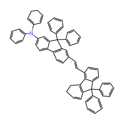 C1=CC(N(c2ccccc2)c2ccc3c(c2)C(c2ccccc2)(c2ccccc2)c2cc(/C=C/c4cccc5c4C4=C(C=CCC4)C5(c4ccccc4)c4ccccc4)ccc2-3)=CCC1